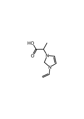 C=CN1C=CN(C(C)C(=O)O)C1